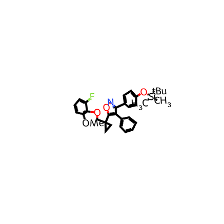 COc1cccc(F)c1OCC1(c2onc(-c3ccc(O[Si](C)(C)C(C)(C)C)cc3)c2-c2ccccc2)CC1